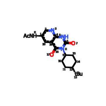 CC(=O)Nc1cnc2[nH]c(=O)n(C3CCC(C(C)(C)C)CC3)c(=O)c2c1